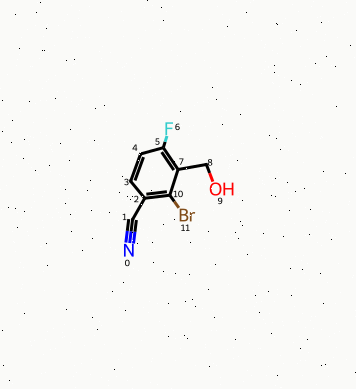 N#Cc1ccc(F)c(CO)c1Br